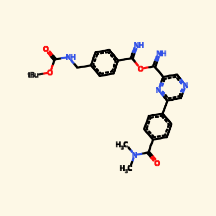 CN(C)C(=O)c1ccc(-c2cncc(C(=N)OC(=N)c3ccc(CNC(=O)OC(C)(C)C)cc3)n2)cc1